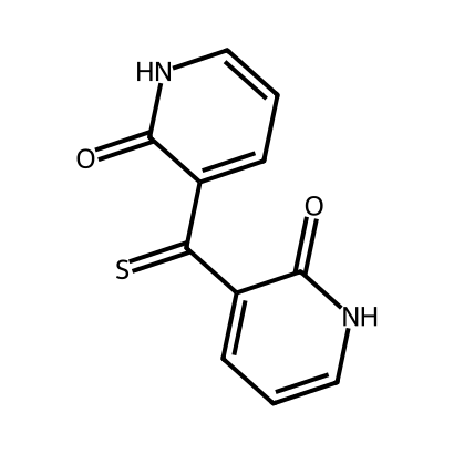 O=c1[nH]cccc1C(=S)c1ccc[nH]c1=O